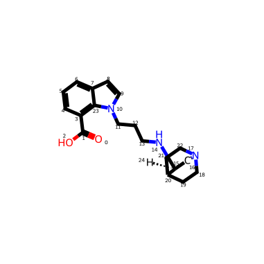 O=C(O)c1cccc2ccn(CCCN[C@H]3CN4CCC3CC4)c12